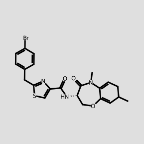 CC1C=C2OC[C@H](NC(=O)c3csc(Cc4ccc(Br)cc4)n3)C(=O)N(C)C2=CC1